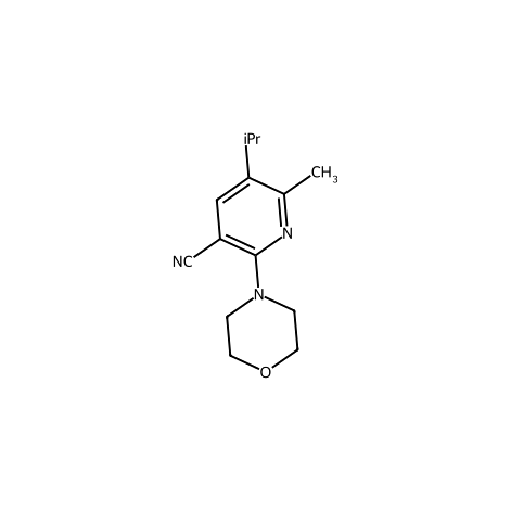 Cc1nc(N2CCOCC2)c(C#N)cc1C(C)C